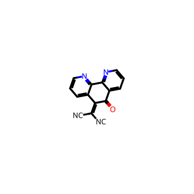 [C-]#[N+]/C(C#N)=C1\C(=O)c2cccnc2-c2ncccc21